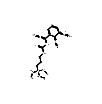 CO[Si](CCCSC(=S)SC(=C=S)c1cccc(=C=S)c1=C=S)(OC)OC